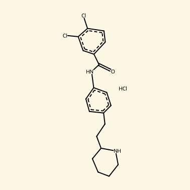 Cl.O=C(Nc1ccc(CCC2CCCCN2)cc1)c1ccc(Cl)c(Cl)c1